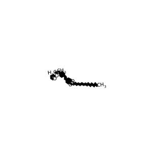 CCCCCCCCCCCCCCCCS(=O)(=O)c1ccc(C=Cc2ccc(N(C)C(C)OC3CCCCO3)cc2)cc1